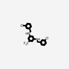 FC(F)(F)c1cc(NCc2cccc(Cl)c2)cc(NCc2cccc(Cl)c2)c1